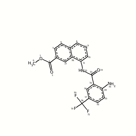 COC(=O)c1ccc2cncc(NC(=O)c3cc(C(F)(F)F)ccc3N)c2c1